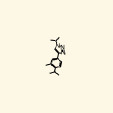 Cc1cc(-c2cn(C(C)C)nn2)ccc1C(C)C